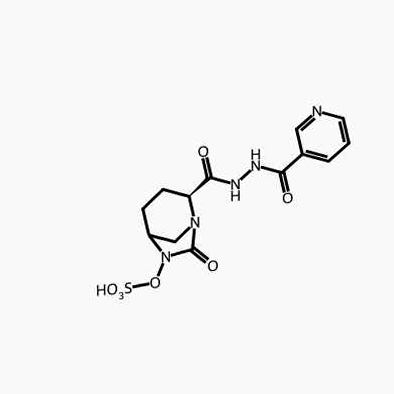 O=C(NNC(=O)[C@@H]1CCC2CN1C(=O)N2OS(=O)(=O)O)c1cccnc1